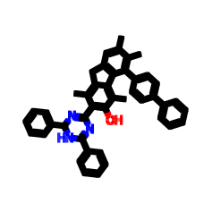 Cc1cc2c(c(-c3ccc(-c4ccccc4)cc3)c1C)-c1c(C)c(O)c(C3=NC(c4ccccc4)NC(c4ccccc4)=N3)c(C)c1C2